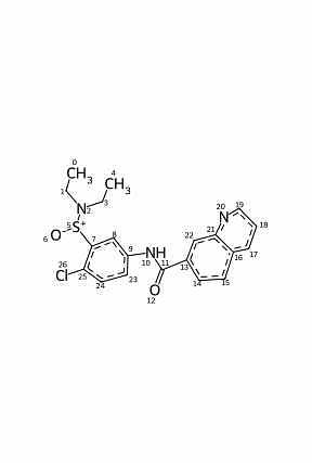 CCN(CC)[S+]([O-])c1cc(NC(=O)c2ccc3cccnc3c2)ccc1Cl